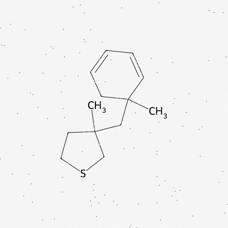 CC1(CC2(C)CCSC2)C=CC=CC1